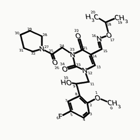 COc1ccc(F)cc1C(O)Cn1cc(/C=N/OC(C)C)c(=O)n(CC(=O)N2CCCCC2)c1=O